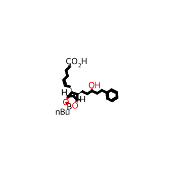 CCCCB1O[C@H]2C[C@@H](O1)[C@H](CCC(O)CCc1ccccc1)[C@H]2C/C=C\CCCC(=O)O